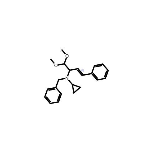 COC(OC)C(/C=C/c1ccccc1)N(Cc1ccccc1)C1CC1